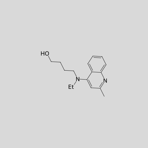 CCN(CCCCO)c1cc(C)nc2ccccc12